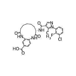 Cc1c(C(=O)N[C@H]2CCCCCC(=O)Nc3cc(C(=O)O)ccc3NC2=O)cnn1-c1cccc(Cl)c1F